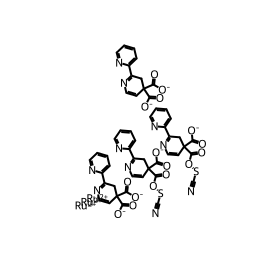 N#CSOC(=O)C1(C(=O)[O-])C=CN=C(c2ccccn2)C1.N#CSOC(=O)C1(C(=O)[O-])C=CN=C(c2ccccn2)C1.O=C([O-])C1(C(=O)[O-])C=CN=C(c2ccccn2)C1.O=C([O-])C1(C(=O)[O-])C=CN=C(c2ccccn2)C1.[Ru+2].[Ru+2].[Ru+2]